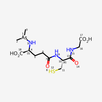 C[As](C)N[C@@H](CCC(=O)N[C@@H](CS)C(=O)NCC(=O)O)C(=O)O